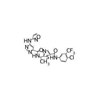 CC(NC(=O)c1cc(Nc2ccon2)ncn1)c1ncc(C(=O)Nc2ccc(Cl)c(C(F)(F)F)c2)s1